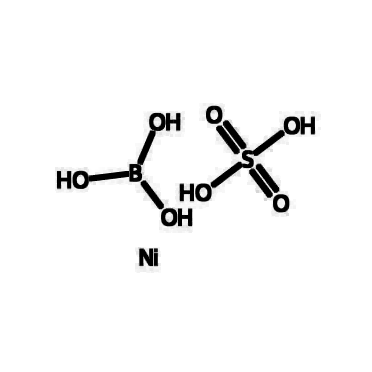 O=S(=O)(O)O.OB(O)O.[Ni]